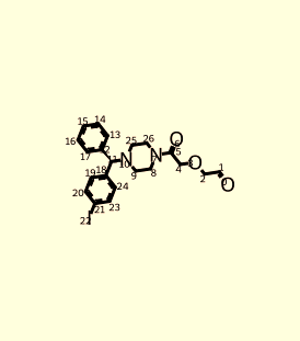 O=CCOCC(=O)N1CCN([C@H](c2ccccc2)c2ccc(I)cc2)CC1